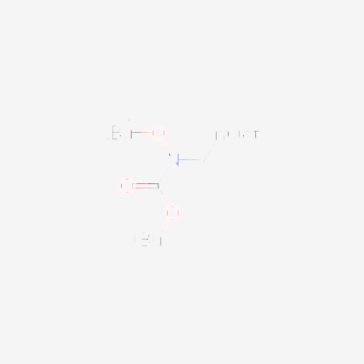 CCCCCCCCCN(OC(C)(C)C)C(=O)OC(C)(C)C